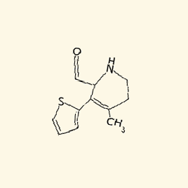 CC1=C(c2cccs2)C(C=O)NCC1